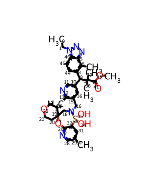 CCn1nnc2c(C)c(C(c3cnc(C)c(CN4CC5(CCOCC5)Oc5ncc(C)cc5S4(O)O)c3)C(C)(C)C(=O)OC)ccc21